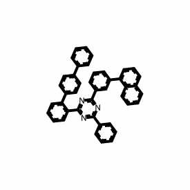 c1ccc(-c2ccc(-c3ccccc3-c3nc(-c4ccccc4)nc(-c4cccc(-c5cccc6ccccc56)c4)n3)cc2)cc1